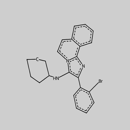 Brc1ccccc1-c1nc2c3ccccc3ccn2c1NC1CCCCC1